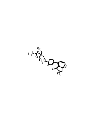 CCN1Cc2nccc(-c3ccc(OC[C@](C)(CC(C)C)OC(N)=O)c(F)c3)c2C1=O